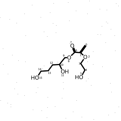 C=C(OCCO)C(=O)OCC(O)CCCO